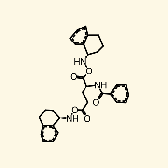 O=C(CC[C@H](NC(=O)c1ccccc1)C(=O)ON[C@@H]1CCCc2ccccc21)ON[C@@H]1CCCc2ccccc21